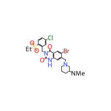 CCS(=O)(=O)c1ccc(Cl)cc1Cn1c(=O)[nH]c2cc(CN3CCCC(NC)C3)c(Br)cc2c1=O